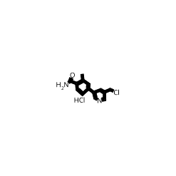 Cc1cc(-c2cncc(CCl)c2)ccc1C(N)=O.Cl